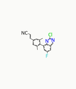 Cc1cc(C=CC#N)cc(C)c1-c1cc(F)cc2cnc(Cl)nc12